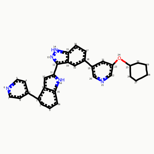 c1cc(-c2ccncc2)c2cc(-c3n[nH]c4ccc(-c5cncc(OC6CCCCC6)c5)cc34)[nH]c2c1